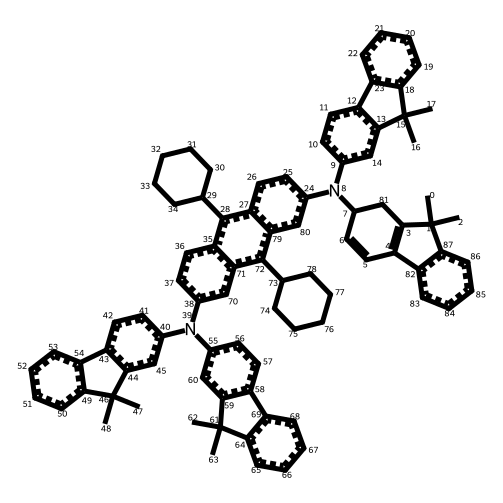 CC1(C)C2=C(C=CC(N(c3ccc4c(c3)C(C)(C)c3ccccc3-4)c3ccc4c(C5CCCCC5)c5ccc(N(c6ccc7c(c6)C(C)(C)c6ccccc6-7)c6ccc7c(c6)C(C)(C)c6ccccc6-7)cc5c(C5CCCCC5)c4c3)C2)c2ccccc21